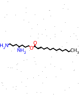 CCCCCCCCCCC=CC(=O)OCCCC(N)CCCN